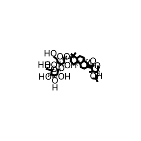 CC(C)=C[C@H]1CO[C@]23C[C@]4(CO2)C(CCC2[C@@]5(C)CC[C@H](O[C@@H]6OC(CO)[C@@H](O)[C@@H](O[C@@H]7OC(CO)[C@@H](O)[C@@H](O)C7O)C6O)C(C)(C)C5CC[C@]24C)C3C1(C)O